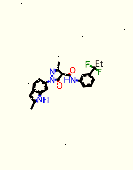 CCC(F)(F)c1cccc(NC(=O)C2C(=O)N(c3ccc4cc(C)[nH]c4c3)N=C2C)c1